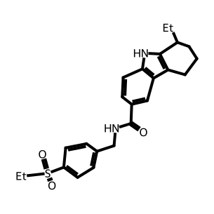 CCC1CCCc2c1[nH]c1ccc(C(=O)NCc3ccc(S(=O)(=O)CC)cc3)cc21